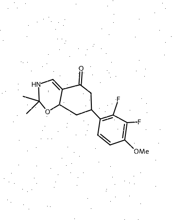 COc1ccc(C2CC(=O)C3=CNC(C)(C)OC3C2)c(F)c1F